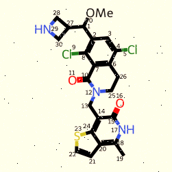 COC(c1cc(Cl)c2c(c1Cl)C(=O)N(Cc1c(=O)[nH]c(C)c3ccsc13)CC2)C1CNC1